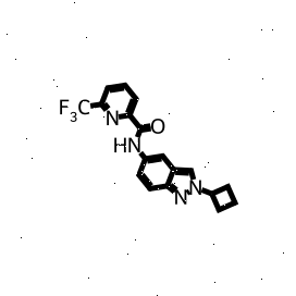 O=C(Nc1ccc2nn(C3CCC3)cc2c1)c1cccc(C(F)(F)F)n1